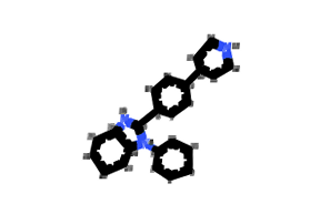 c1ccc(-n2c(-c3ccc(-c4ccncc4)cc3)nc3ccccc32)cc1